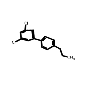 CCCc1ccc(-c2cc(Cl)cc(Cl)c2)cc1